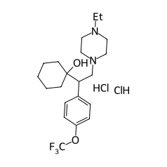 CCN1CCN(CC(c2ccc(OC(F)(F)F)cc2)C2(O)CCCCC2)CC1.Cl.Cl